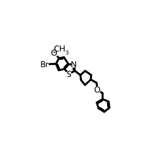 COc1cc2nc(C3CCC(COCc4ccccc4)CC3)sc2cc1Br